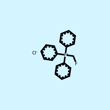 FC[P+](c1ccccc1)(c1ccccc1)c1ccccc1.[Cl-]